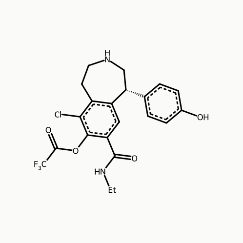 CCNC(=O)c1cc2c(c(Cl)c1OC(=O)C(F)(F)F)CCNC[C@@H]2c1ccc(O)cc1